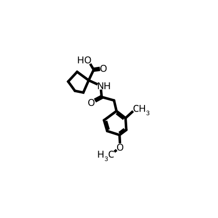 COc1ccc(CC(=O)NC2(C(=O)O)CCCC2)c(C)c1